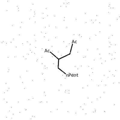 CCCCCCC(CC(C)=O)C(C)=O